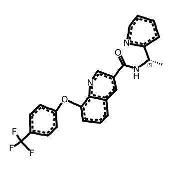 C[C@H](NC(=O)c1cnc2c(Oc3ccc(C(F)(F)F)cc3)cccc2c1)c1ccccn1